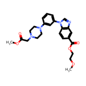 COCCOC(=O)c1ccc2c(c1)ncn2-c1cccc(N2CCN(CC(=O)OC)CC2)c1